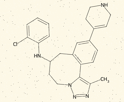 Cc1nnn2c1-c1ccc(C3=CCNCC3)cc1CC(Nc1ccccc1Cl)CC2